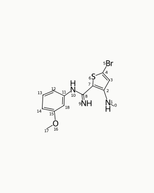 CNc1cc(Br)sc1C(=N)Nc1cccc(OC)c1